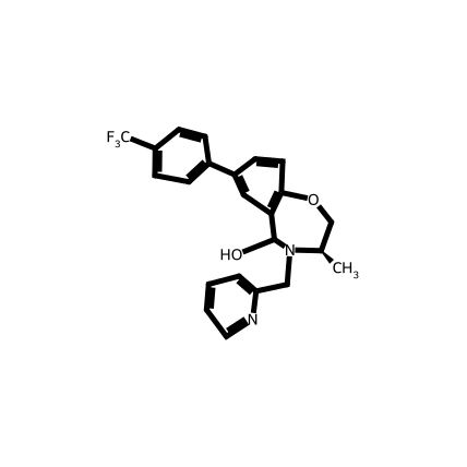 C[C@@H]1COc2ccc(-c3ccc(C(F)(F)F)cc3)cc2C(O)N1Cc1ccccn1